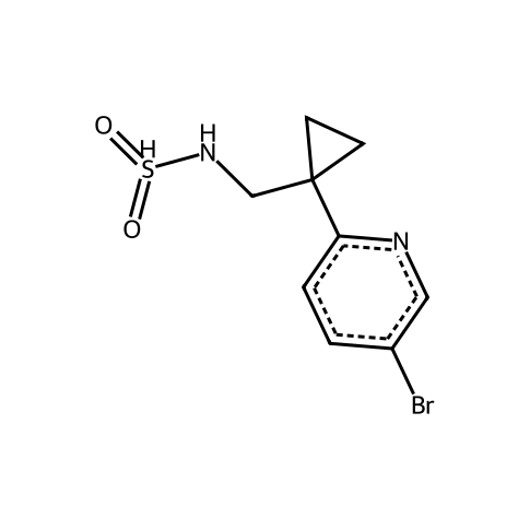 O=[SH](=O)NCC1(c2ccc(Br)cn2)CC1